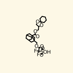 O=C(OCC1COC2(CCCCC2)O1)C12CC3CC(CC(COC(=O)C(F)(F)S(=O)(=O)O)(C3)C1)C2